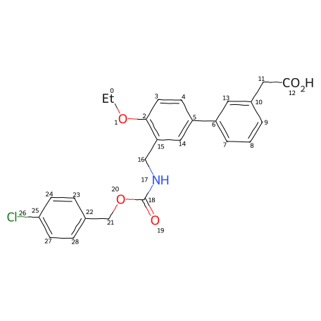 CCOc1ccc(-c2cccc(CC(=O)O)c2)cc1CNC(=O)OCc1ccc(Cl)cc1